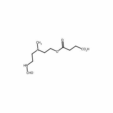 CN(CCNC=O)CCOC(=O)CCC(=O)O